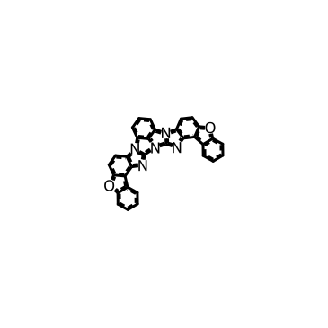 c1ccc2c(c1)oc1ccc3c(nc4n3c3cccc5c3n4c3nc4c6c(ccc4n53)oc3ccccc36)c12